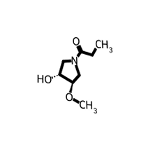 CCC(=O)N1C[C@@H](O)[C@H](OC)C1